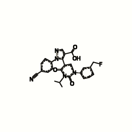 CC(C)n1c(=O)c(-c2c(C(=O)O)cnn2-c2ccc(C#N)cc2)cn(-c2cccc(CF)c2)c1=O